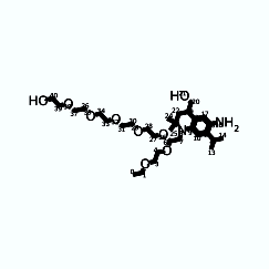 CCOCCOC(CN1c2cc(C(C)C)c(N)cc2C(CO)CC1(C)C)OCCOCCOCCOCCOCCO